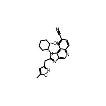 Cc1cc(Cc2nc3cnc4ccc(C#N)cc4c3n2[C@H]2CCCC[C@H]2O)no1